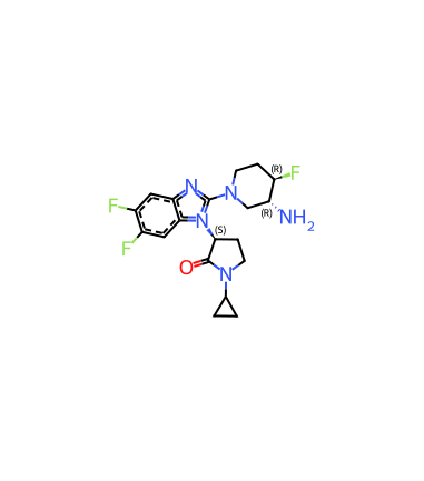 N[C@@H]1CN(c2nc3cc(F)c(F)cc3n2[C@H]2CCN(C3CC3)C2=O)CC[C@H]1F